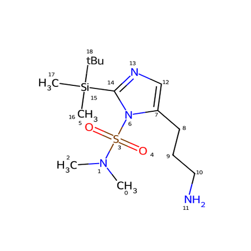 CN(C)S(=O)(=O)n1c(CCCN)cnc1[Si](C)(C)C(C)(C)C